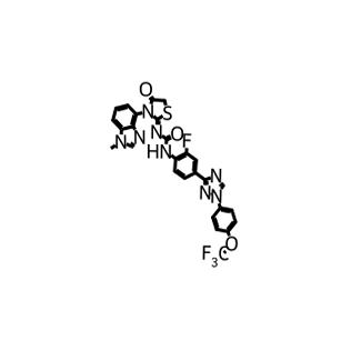 Cn1cnc2c(N3C(=O)CS/C3=N\C(=O)Nc3ccc(-c4ncn(-c5ccc(OC(F)(F)F)cc5)n4)cc3F)cccc21